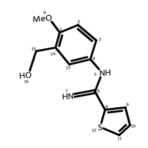 COc1ccc(NC(=N)c2cccs2)cc1CO